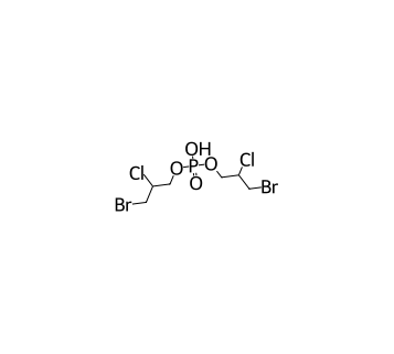 O=P(O)(OCC(Cl)CBr)OCC(Cl)CBr